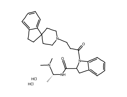 C[C@@H](NC(=O)C1Cc2ccccc2N1C(=O)CCN1CCC2(CCc3ccccc32)CC1)N(C)C.Cl.Cl